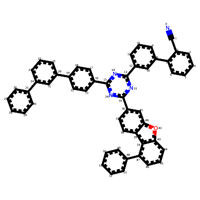 N#Cc1ccccc1-c1cccc(-c2nc(-c3ccc(-c4cccc(-c5ccccc5)c4)cc3)nc(-c3ccc4c(c3)oc3cccc(-c5ccccc5)c34)n2)c1